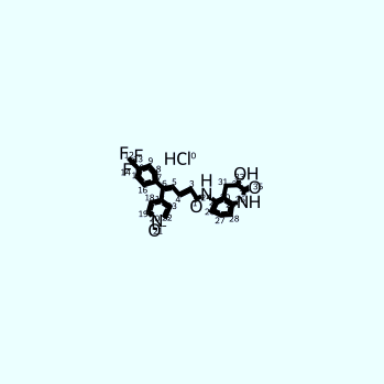 Cl.O=C(/C=C/C=C(/c1ccc(C(F)(F)F)cc1)c1cc[n+]([O-])cc1)Nc1cccc2c1CC(O)C(=O)N2